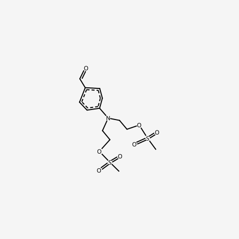 CS(=O)(=O)OCCN(CCOS(C)(=O)=O)c1ccc(C=O)cc1